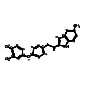 Nc1ccc2[nH]c(NCc3ccc(Oc4ccc(Cl)c(Cl)c4)cc3)nc2c1